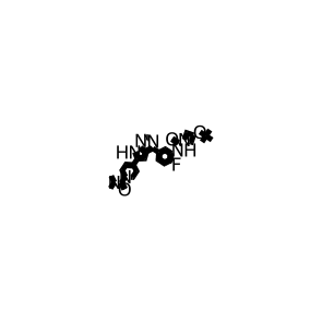 CN(C)C(=O)N1CC=C(c2cc3c(-c4ccc(F)c(NC(=O)N5CC(OC(C)(C)C)C5)c4)ncnc3[nH]2)CC1